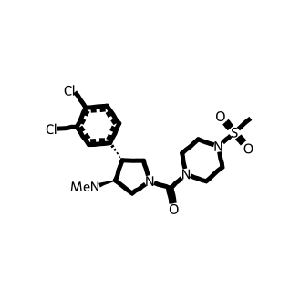 CN[C@@H]1CN(C(=O)N2CCN(S(C)(=O)=O)CC2)C[C@H]1c1ccc(Cl)c(Cl)c1